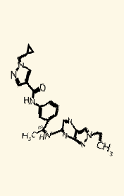 CCn1cc2ncc(N[C@@H](C)c3cccc(NC(=O)c4cnn(CC5CC5)c4)c3)nc2n1